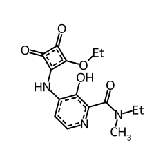 CCOc1c(Nc2ccnc(C(=O)N(C)CC)c2O)c(=O)c1=O